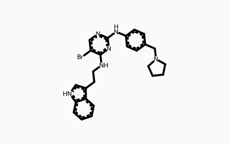 Brc1cnc(Nc2ccc(CN3CCCC3)cc2)nc1NCCc1c[nH]c2ccccc12